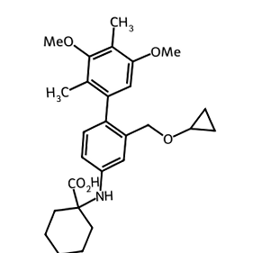 COc1cc(-c2ccc(NC3(C(=O)O)CCCCC3)cc2COC2CC2)c(C)c(OC)c1C